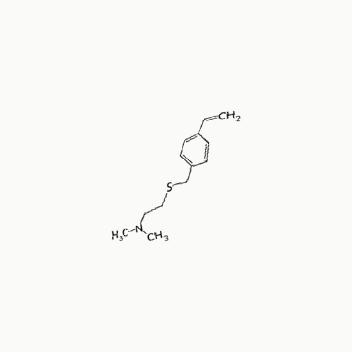 C=Cc1ccc(CSCCN(C)C)cc1